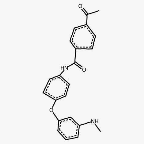 CNc1cccc(Oc2ccc(NC(=O)c3ccc(C(C)=O)cc3)cc2)c1